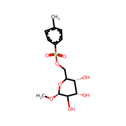 CO[C@H]1OC(COS(=O)(=O)c2ccc(C)cc2)[C@H](O)[C@H](O)C1O